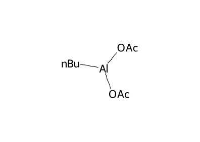 CCC[CH2][Al]([O]C(C)=O)[O]C(C)=O